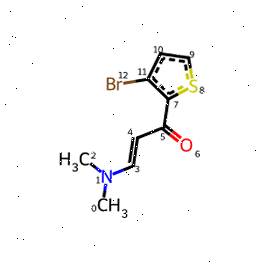 CN(C)C=CC(=O)c1sccc1Br